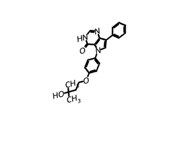 CC(C)(O)CCOc1ccc(-n2cc(-c3ccccc3)c3nc[nH]c(=O)c32)cc1